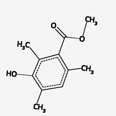 COC(=O)c1c(C)cc(C)c(O)c1C